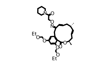 CCOCOc1cc2c(c(OCOCC)c1)C(=O)O[C@H](C)C/C=C/[C@@H](C)C/C=C/C(=NOCC(=O)N1CCCCC1)C2